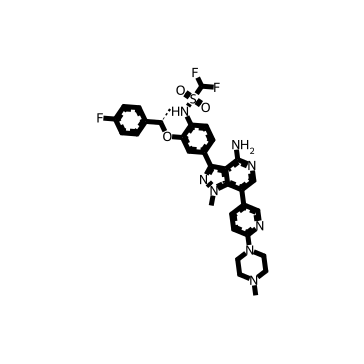 C[C@H](Oc1cc(-c2nn(C)c3c(-c4ccc(N5CCN(C)CC5)nc4)cnc(N)c23)ccc1NS(=O)(=O)C(F)F)c1ccc(F)cc1